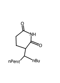 CCCCCC(CCCC)C1CCC(=O)NC1=O